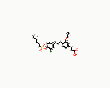 CCCCCCS(=O)(=O)Oc1ccc(CCCc2ccc(CCC(=O)O)cc2OCC)cc1Cl